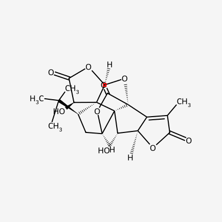 CC1=C2[C@@H](OC1=O)[C@H](O)[C@@]13[C@H]4C[C@@H](C(C)(C)C)[C@]15[C@@H](OC(=O)[C@@H]5O)O[C@]23C(=O)O4